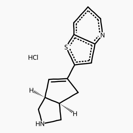 C1=C(c2cc3ncccc3s2)C[C@H]2CNC[C@@H]12.Cl